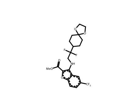 COC(=O)c1oc2ccc(C(F)(F)F)cc2c1NCC(F)(F)C1CCC2(CC1)OCCO2